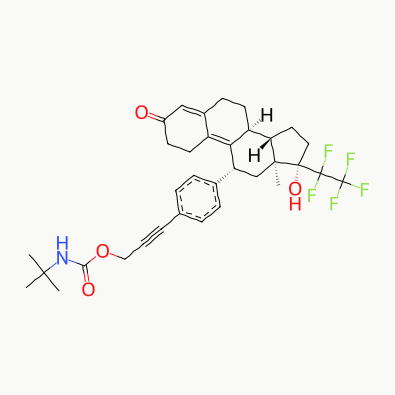 CC(C)(C)NC(=O)OCC#Cc1ccc([C@H]2C[C@@]3(C)[C@@H](CC[C@@]3(O)C(F)(F)C(F)(F)F)[C@@H]3CCC4=CC(=O)CCC4=C32)cc1